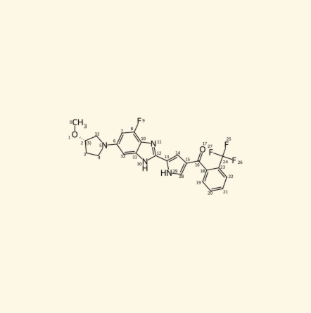 CO[C@H]1CCN(c2cc(F)c3nc(-c4cc(C(=O)c5ccccc5C(F)(F)F)c[nH]4)[nH]c3c2)C1